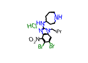 CC(C)Cn1c(NC2CCCNCC2)nc2c([N+](=O)[O-])c(Br)c(Br)cc21.Cl